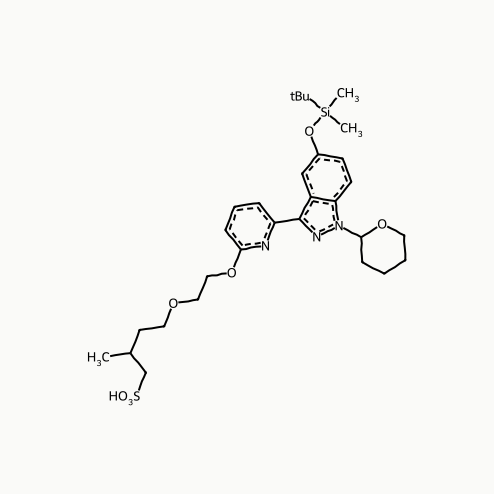 CC(CCOCCOc1cccc(-c2nn(C3CCCCO3)c3ccc(O[Si](C)(C)C(C)(C)C)cc23)n1)CS(=O)(=O)O